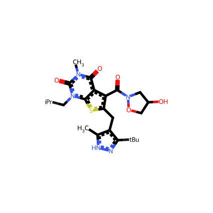 Cc1[nH]nc(C(C)(C)C)c1Cc1sc2c(c1C(=O)N1CC(O)CO1)c(=O)n(C)c(=O)n2CC(C)C